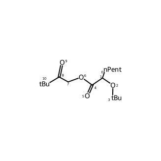 CCCCCC(OC(C)(C)C)C(=O)OCC(=O)C(C)(C)C